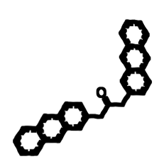 O=C(Cc1ccc2cc3ccccc3cc2c1)Cc1ccc2cc3ccccc3cc2c1